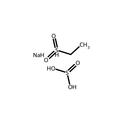 CC[SH](=O)=O.O=S(O)O.[NaH]